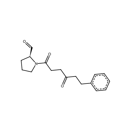 O=C[C@@H]1CCCN1C(=O)CCC(=O)CCc1ccccc1